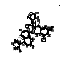 Cc1cc(-c2ncnn2C)c2cccc(OCc3c(Cl)cc(F)cc3[C@H](C)NC(=O)c3ccon3)c2n1